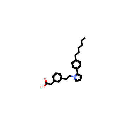 CCCCCCc1ccc(-c2cccn2CCc2cccc(CC(=O)O)c2)cc1